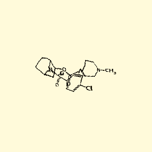 CN1CCN(C(=O)OC2CC3CCC2N3S(=O)(=O)c2ccc(Cl)cc2)CC1